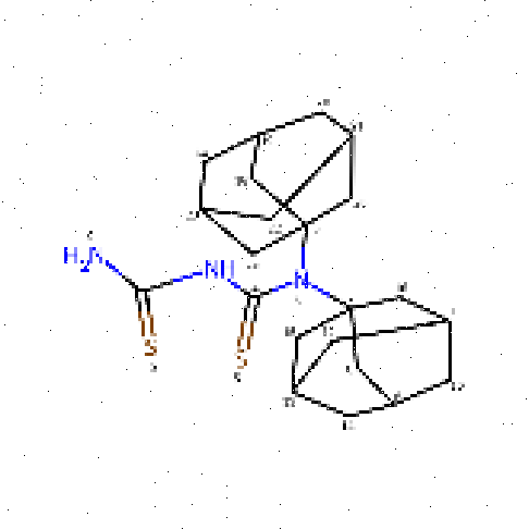 NC(=S)NC(=S)N(C12CC3CC(CC(C3)C1)C2)C12CC3CC(CC(C3)C1)C2